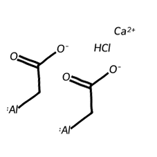 Cl.O=C([O-])[CH2][Al].O=C([O-])[CH2][Al].[Ca+2]